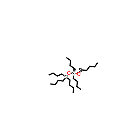 CCCC[SiH2]O[Si](CCCC)(CCCC)O[Si](CCCC)(CCCC)CCCC